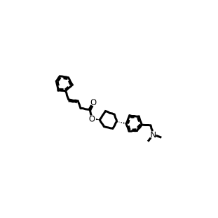 CN(C)Cc1ccc([C@H]2CC[C@@H](OC(=O)CC=Cc3ccccc3)CC2)cc1